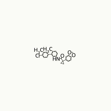 Cc1cc(-c2cc(NC(=O)C3(c4ccc5c(c4)OCO5)CC3)ccc2C)ccc1Cl